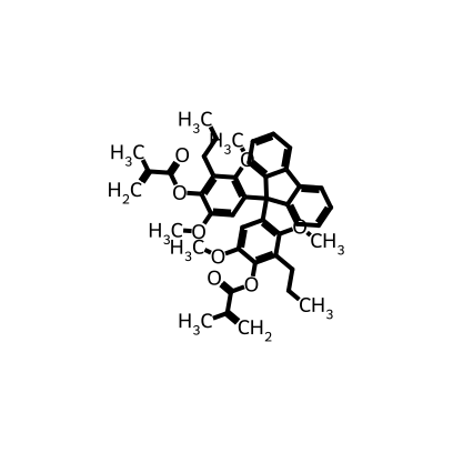 C=C(C)C(=O)Oc1c(OC)cc(C2(c3cc(OC)c(OC(=O)C(=C)C)c(CCC)c3OC)c3ccccc3-c3ccccc32)c(OC)c1CCC